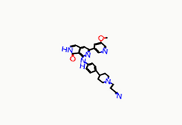 COc1cncc(-c2cc3cc[nH]c(=O)c3c(Nc3ccc(C4CCN(CCC#N)CC4)cc3)n2)c1